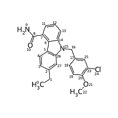 CCc1c[c]c2c3c(C(N)=O)cccc3n(Cc3ccc(OC)c(Cl)c3)c2c1